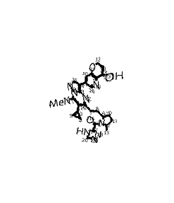 CNc1c(C2CC2)c(CCC2CCC(C)N2C(=O)c2nnc[nH]2)nc2c(-c3cnc4c(c3)OCCC4O)cnn12